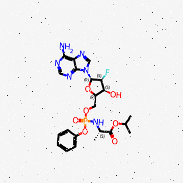 CC(C)OC(=O)[C@H](C)NP(=O)(OC[C@H]1O[C@@H](n2cnc3c(N)ncnc32)[C@@H](F)[C@H]1O)Oc1ccccc1